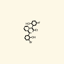 CC/C(C)=C(\c1cc(F)ccc1O)N1C=CC=C/C1=C(/C)c1cccc(Br)c1O